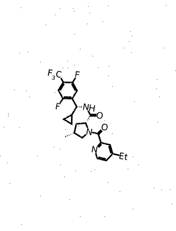 CCc1ccnc(C(=O)N2C[C@H](C)C[C@@H]2C(=O)N[C@@H](c2cc(F)c(C(F)(F)F)cc2F)C2CC2)c1